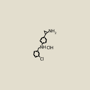 Cl.NC1CC1c1ccc(NCc2cccc(Cl)c2)cc1